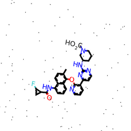 Cc1ccc2c(NC(=O)C3CC3F)cccc2c1Oc1ncccc1-c1ccnc(N[C@H]2CCCN(C(=O)O)C2)n1